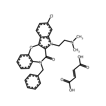 CN(C)CCn1c2c(c3ccc(Cl)cc31)Oc1ccccc1N(Cc1ccccc1)C2=O.O=C(O)C=CC(=O)O